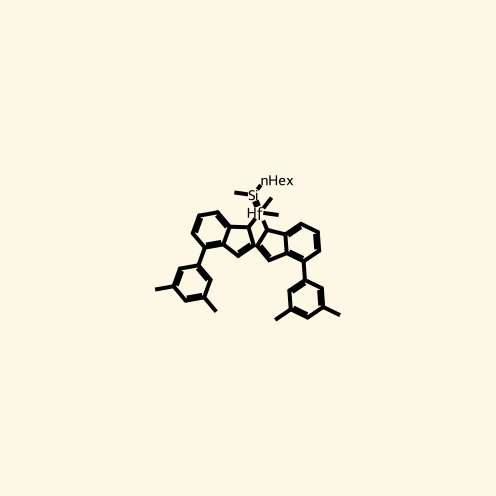 CCCCCC[Si](C)=[Hf]([CH3])([CH3])([CH]1C=Cc2c(-c3cc(C)cc(C)c3)cccc21)[CH]1C=Cc2c(-c3cc(C)cc(C)c3)cccc21